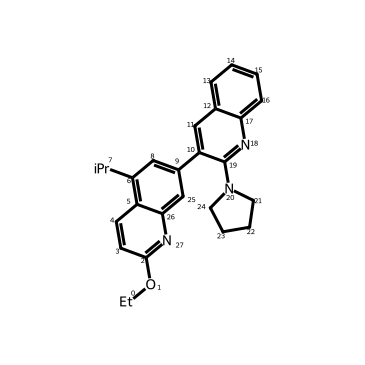 CCOc1ccc2c(C(C)C)cc(-c3cc4ccccc4nc3N3CCCC3)cc2n1